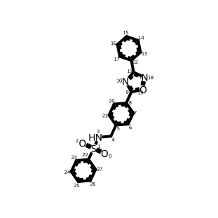 O=S(=O)(NCc1ccc(-c2nc(-c3ccccc3)no2)cc1)c1ccccc1